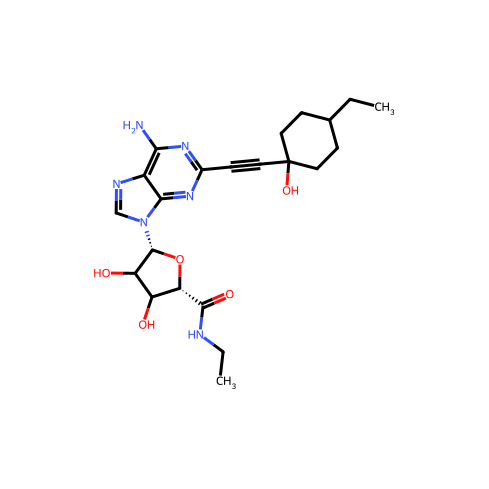 CCNC(=O)[C@H]1O[C@@H](n2cnc3c(N)nc(C#CC4(O)CCC(CC)CC4)nc32)C(O)C1O